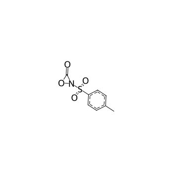 Cc1ccc(S(=O)(=O)N2OC2=O)cc1